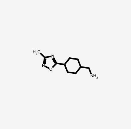 Cc1noc(C2CCC(CN)CC2)n1